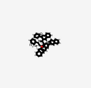 CC[C@H]1C(c2ccc3ccccc3c2)=CCC(c2c(-n3c4cc5ccccc5cc4c4cc5ccccc5cc43)c3ccccc3c3oc4ccccc4c23)=NC1c1ccccc1